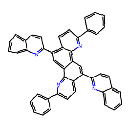 c1ccc(-c2ccc3c(-c4ccc5ccccc5n4)cc4c(cc(-c5ccc6ccccc6n5)c5ccc(-c6ccccc6)nc54)c3n2)cc1